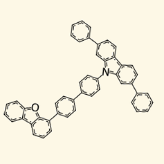 c1ccc(-c2ccc3c4ccc(-c5ccccc5)cc4n(-c4ccc(-c5ccc(-c6cccc7c6oc6ccccc67)cc5)cc4)c3c2)cc1